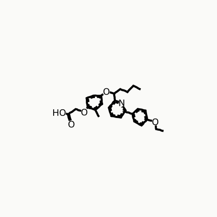 CCCCC(Oc1ccc(OCC(=O)O)c(C)c1)c1cccc(-c2ccc(OCC)cc2)n1